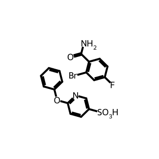 NC(=O)c1ccc(F)cc1Br.O=S(=O)(O)c1ccc(Oc2ccccc2)nc1